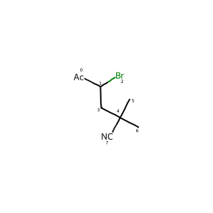 CC(=O)C(Br)CC(C)(C)C#N